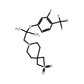 CC(C)(CN1CCC2(CC1)CS(=O)(=O)C2)Oc1ccc(C(F)(F)F)c(F)c1